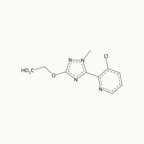 Cn1nc(OCC(=O)O)nc1-c1ncccc1Cl